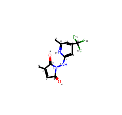 CC1=CC(=O)N(Nc2cc(C(F)(F)F)cc(C)n2)C1=O